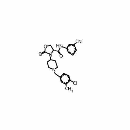 Cc1cc(CN2CCC(N3C(=O)OC[C@H]3C(=O)Nc3cccc(C#N)c3)CC2)ccc1Cl